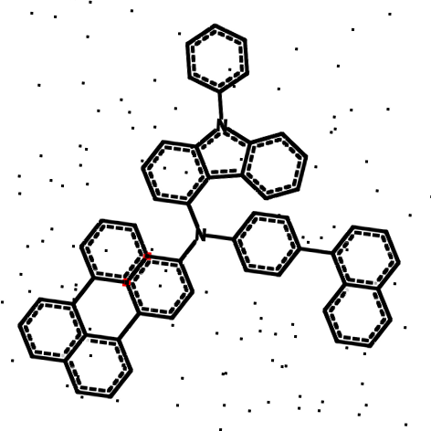 c1ccc(-c2cccc3cccc(-c4ccc(N(c5ccc(-c6cccc7ccccc67)cc5)c5cccc6c5c5ccccc5n6-c5ccccc5)cc4)c23)cc1